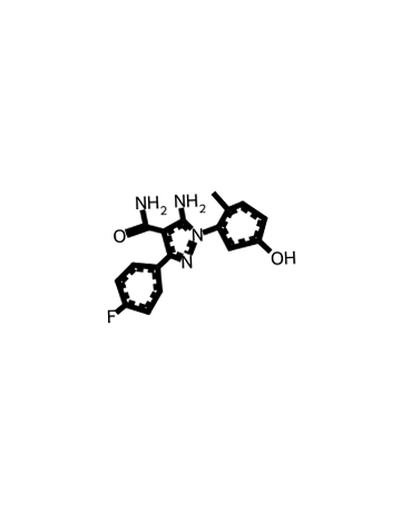 Cc1ccc(O)cc1-n1nc(-c2ccc(F)cc2)c(C(N)=O)c1N